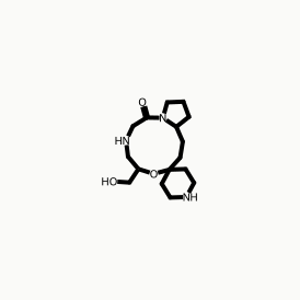 O=C1CNCC(CO)OC2(CCNCC2)CCC2CCCN12